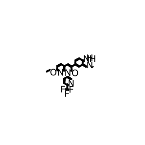 CCOc1ccc2cc(C3=C/C(=C/NC)C(=N)C=C3)c(=O)n(-c3ccc(C(F)(F)F)nc3)c2n1